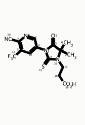 CC1(C)C(=O)N(c2cnc(C#N)c(C(F)(F)F)c2)C(=S)N1CCC(=O)O